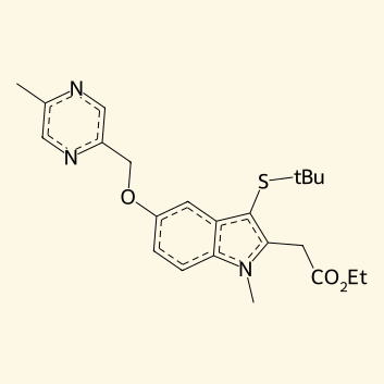 CCOC(=O)Cc1c(SC(C)(C)C)c2cc(OCc3cnc(C)cn3)ccc2n1C